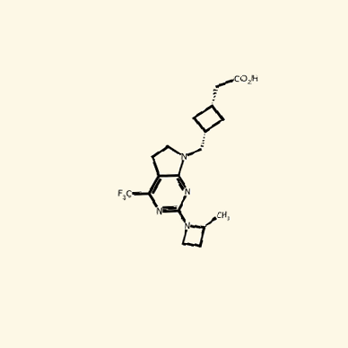 C[C@H]1CCN1c1nc2c(c(C(F)(F)F)n1)CCN2C[C@H]1C[C@@H](CC(=O)O)C1